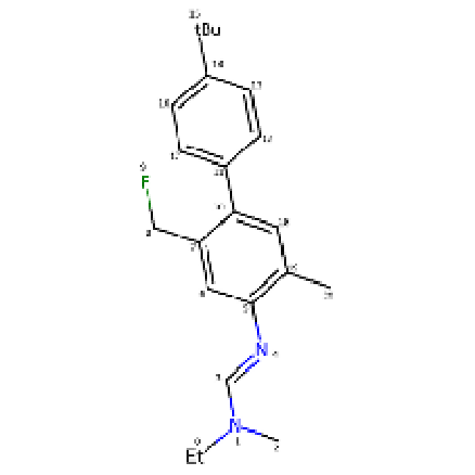 CCN(C)C=Nc1cc(CF)c(-c2ccc(C(C)(C)C)cc2)cc1C